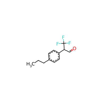 CCCc1ccc(C(C=O)C(F)(F)F)cc1